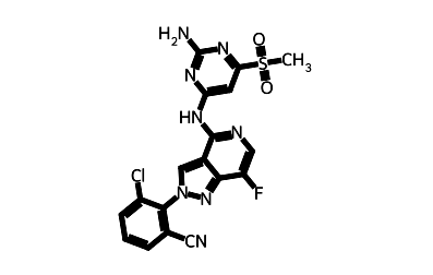 CS(=O)(=O)c1cc(Nc2ncc(F)c3nn(-c4c(Cl)cccc4C#N)cc23)nc(N)n1